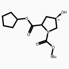 CC(C)(C)OC(=O)N1C[C@H](O)CC1C(=O)OC1CCCC1